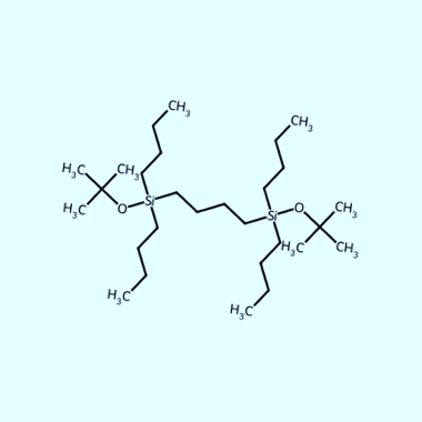 CCCC[Si](CCCC)(CCCC[Si](CCCC)(CCCC)OC(C)(C)C)OC(C)(C)C